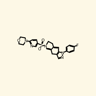 O=S(=O)(c1ccc(N2CCOCC2)nc1)N1C=C2Cc3cnn(-c4ccc(F)cc4)c3C=C2CC1